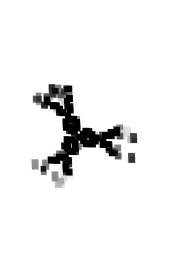 CCCCN(CCCC)c1ccc([N+](=C2C=CC(=[N+](CCCC)CCCC)CC2)c2ccc(N(CCCC)CCCC)cc2)cc1